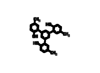 Cc1ccc(O)c(-c2cc(-c3cc(C)ccc3O)cc(-c3cc(C)ccc3O)c2)c1